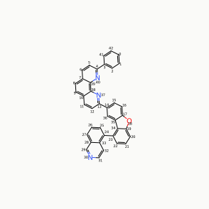 c1ccc(-c2ccc3ccc4ccc(-c5ccc6oc7cccc(-c8cccc9cnccc89)c7c6c5)nc4c3n2)cc1